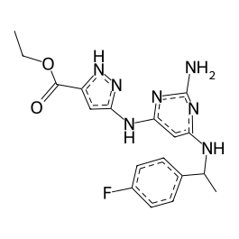 CCOC(=O)c1cc(Nc2cc(NC(C)c3ccc(F)cc3)nc(N)n2)n[nH]1